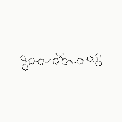 CC1(C)c2cc(/C=C/c3ccc(-c4ccc5c(c4)-c4ccccc4[Si]54CCCC4)cc3)ccc2-c2ccc(/C=C/c3ccc(-c4ccc5c(c4)-c4ccccc4[Si]54CCCC4)cc3)cc21